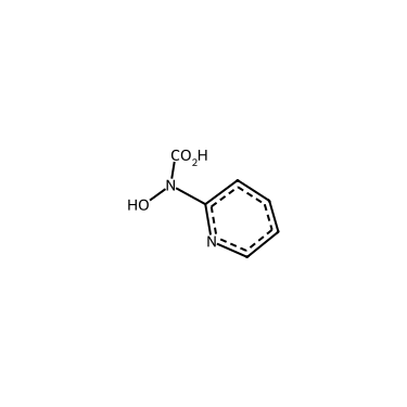 O=C(O)N(O)c1ccccn1